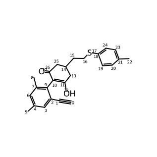 C#Cc1cc(C)cc(C)c1C1=C(O)CC(CCSc2ccc(C)cc2)CC1=O